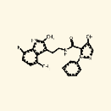 Cc1[nH]c2c(F)ccc(C)c2c1CCNC(=O)c1c(O)cnn1-c1ccccc1